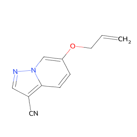 C=CCOc1ccc2c(C#N)cnn2c1